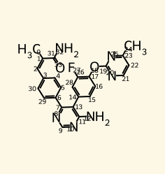 CC(=Cc1ccc(-c2ncnc(N)c2-c2ccc(Oc3nccc(C)n3)c(F)c2)cc1)C(N)=O